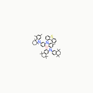 Cc1cc2c3c(c1)N(c1cccc4sc5ccccc5c14)c1cc(N4c5cc(C)cc(C)c5C5(C)CCCCC45C)ccc1B3c1cc3c(cc1N2c1ccc2c(c1)C(C)(C)CCC2(C)C)C(C)(C)CCC3(C)C